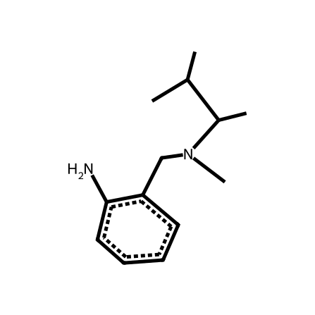 CC(C)C(C)N(C)Cc1ccccc1N